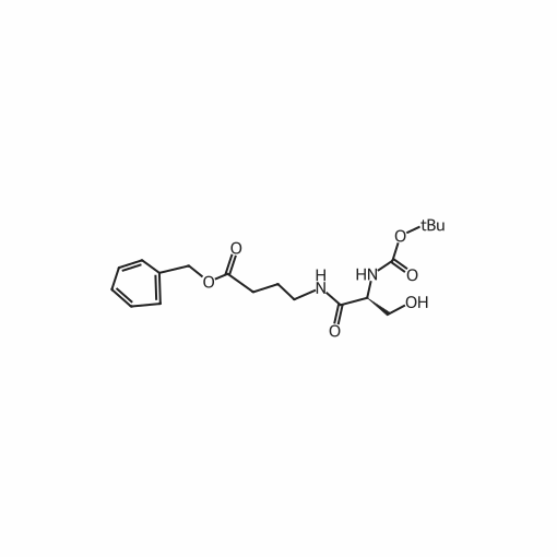 CC(C)(C)OC(=O)N[C@@H](CO)C(=O)NCCCC(=O)OCc1ccccc1